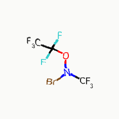 FC(F)(F)N(Br)OC(F)(F)C(F)(F)F